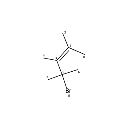 CC(C)=C(C)C(C)(C)Br